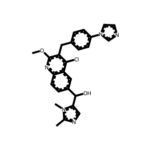 COc1nc2ccc(C(O)c3cnc(C)n3C)cc2c(Cl)c1Cc1ccc(-n2ccnc2)cc1